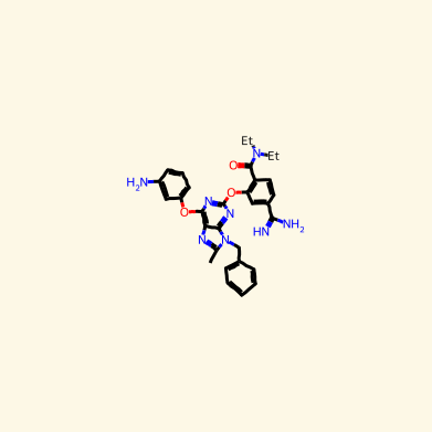 CCN(CC)C(=O)c1ccc(C(=N)N)cc1Oc1nc(Oc2cccc(N)c2)c2nc(C)n(Cc3ccccc3)c2n1